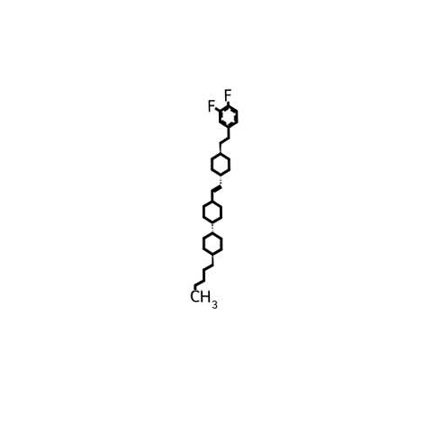 CCCCC[C@H]1CC[C@H](C2CCC(/C=C/[C@H]3CC[C@H](CCc4ccc(F)c(F)c4)CC3)CC2)CC1